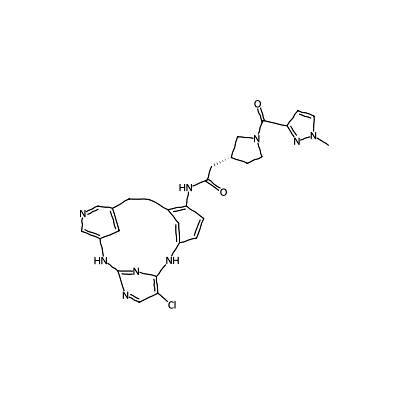 Cn1ccc(C(=O)N2CC[C@H](CC(=O)Nc3ccc4cc3CCc3cncc(c3)Nc3ncc(Cl)c(n3)N4)C2)n1